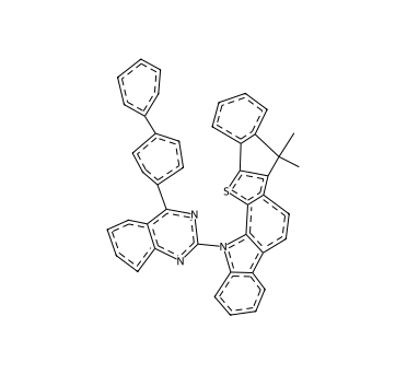 CC1(C)c2ccccc2-c2sc3c(ccc4c5ccccc5n(-c5nc(-c6ccc(-c7ccccc7)cc6)c6ccccc6n5)c43)c21